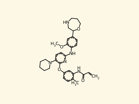 C=CC(=O)Nc1cc(Oc2nc(Nc3ccc(C4CNCCCO4)cc3OC)ccc2N2CCCCC2)ccc1C